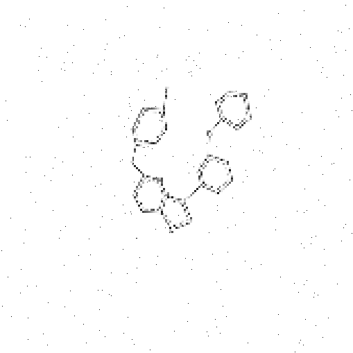 Fc1ccc(Cc2ccc3ncc(-c4cccc(Oc5ccccc5)c4)n3n2)cc1